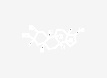 CC[C@H]1C[C@H]2[C@H](CC[C@@H]3[C@@H]2CC[C@]2(C)[C@@H](C(C)=O)CC[C@@H]32)C[C@]1(C)O